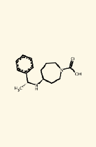 C[C@@H](N[C@H]1CCCN(C(=O)O)CC1)c1ccccc1